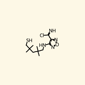 CC(C)(CS)CC(C)(C)CNc1nonc1C(=N)Cl